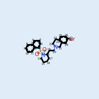 O=S(=O)(c1cccc2ccccc12)N1CCCCC1CCN1CCc2ccc(Br)cc2C1